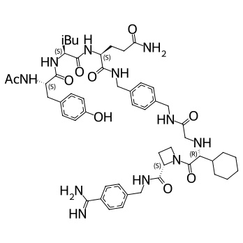 CCC(C)[C@H](NC(=O)[C@H](Cc1ccc(O)cc1)NC(C)=O)C(=O)N[C@@H](CCC(N)=O)C(=O)NCc1ccc(CNC(=O)CN[C@@H](C(=O)N2CC[C@H]2C(=O)NCc2ccc(C(=N)N)cc2)C2CCCCC2)cc1